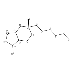 CCCCCC[C@]1(C)CCC2C(C)COC2C1